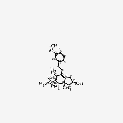 COc1cccc(CCC2=C3C[C@@H](O)C[C@@]3(C)CC([Si](C)(C)C)=C2C)c1